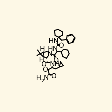 CC1(C)[C@@H]2[C@@H](C(=O)NC(CC3CC3)C(=O)C(N)=O)N(C(=O)[C@@H](NC(=O)NC3(Cc4ccccc4)CCCCC3)C3CCCCC3)C[C@@H]21